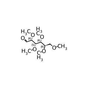 COC[C@@H](OC)[C@@H](OC)[C@H](OC)[C@H](C=O)OC